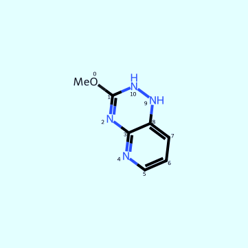 COC1=Nc2ncccc2NN1